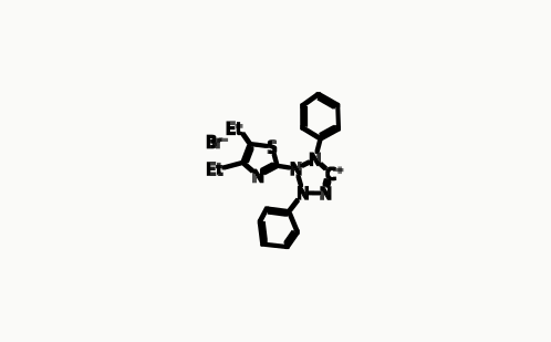 CCc1nc(N2N(c3ccccc3)[C+]=NN2c2ccccc2)sc1CC.[Br-]